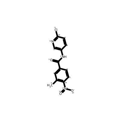 Cc1cc(C(=O)Nc2ccc(Cl)nc2)ccc1[N+](=O)[O-]